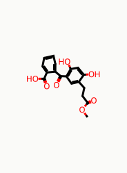 COC(=O)CCc1cc(C(=O)c2ccccc2C(=O)O)c(O)cc1O